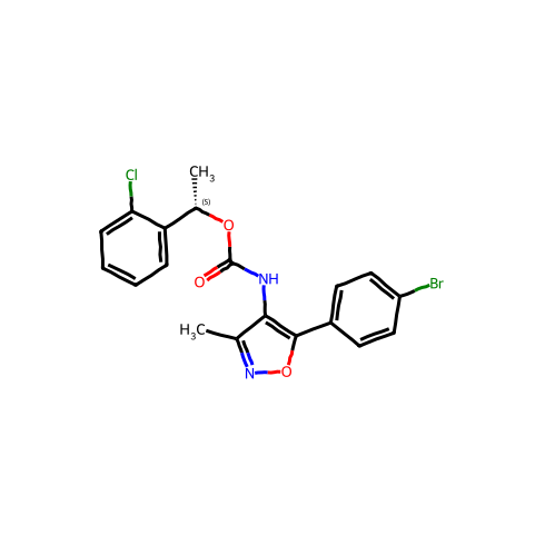 Cc1noc(-c2ccc(Br)cc2)c1NC(=O)O[C@@H](C)c1ccccc1Cl